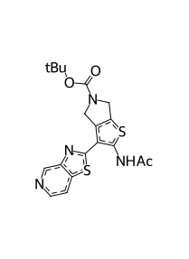 CC(=O)Nc1sc2c(c1-c1nc3cnccc3s1)CN(C(=O)OC(C)(C)C)C2